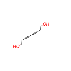 OCCC#CC#CCCO